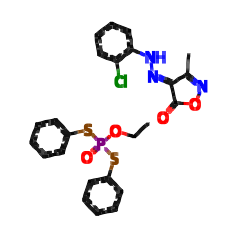 CC1=NOC(=O)/C1=N/Nc1ccccc1Cl.CCOP(=O)(Sc1ccccc1)Sc1ccccc1